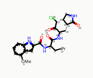 COc1cccc2[nH]c(C(=O)NC(CC(C)C)C(=O)NC(C[C@@H]3CCNC3=O)C(=O)CCl)cc12